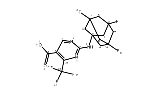 O=C(O)c1cnc(NC23CC4(F)CC(F)(CC(F)(C4)C2)C3)nc1C(F)(F)F